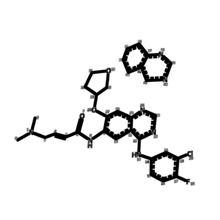 CN(C)CC=CC(=O)Nc1cc2c(Nc3ccc(F)c(Cl)c3)ncnc2cc1OC1CCOC1.c1ccc2ncncc2c1